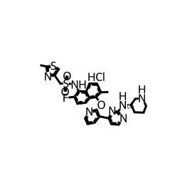 Cc1nc(CS(=O)(=O)Nc2c(F)ccc3c(Oc4ncccc4-c4ccnc(N[C@H]5CCCNC5)n4)c(C)ccc23)cs1.Cl